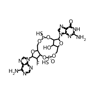 Nc1nc2c(ncn2C2OC3CO[P@@](=O)(S)OC4C(CO[P@@](S)OC2C3O)OC(n2cnc3c(N)ncnc32)C4F)c(=O)[nH]1